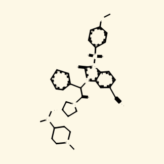 COc1ccc(S(=O)(=O)n2c(=O)n(C(C(=O)N3CC[C@H](CN(C)C4CCN(C)CC4)C3)c3ccccc3)c3cc(C#N)ccc32)cc1